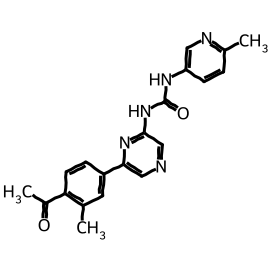 CC(=O)c1ccc(-c2cncc(NC(=O)Nc3ccc(C)nc3)n2)cc1C